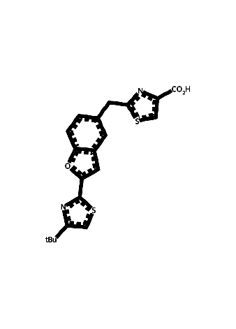 CC(C)(C)c1csc(-c2cc3cc(Cc4nc(C(=O)O)cs4)ccc3o2)n1